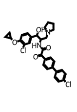 O=C(NC(CN1CCCC1)C(O)c1ccc(OC2CC2)c(Cl)c1)C(=O)c1ccc(-c2ccc(Cl)cc2)cc1